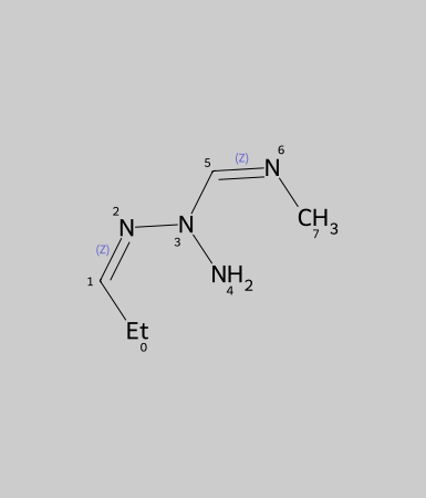 CC/C=N\N(N)/C=N\C